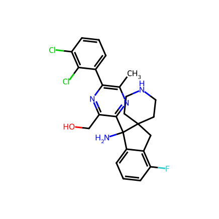 Cc1nc(C2(N)c3cccc(F)c3CC23CCNCC3)c(CO)nc1-c1cccc(Cl)c1Cl